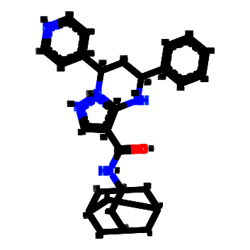 O=C(NC12CC3CC(CC(C3)C1)C2)c1cnn2c1NC(c1ccccc1)CC2c1ccncc1